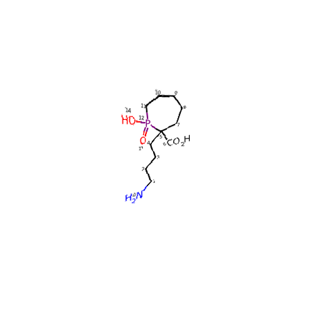 NCCCCC1(C(=O)O)CCCCCP1(=O)O